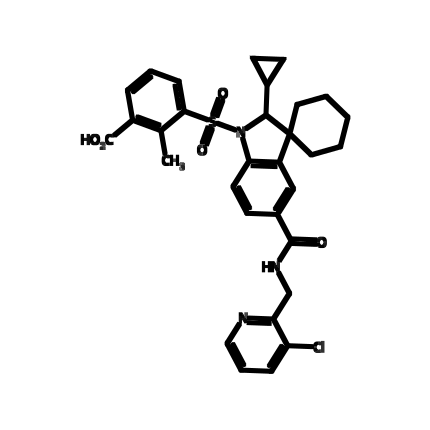 Cc1c(C(=O)O)cccc1S(=O)(=O)N1c2ccc(C(=O)NCc3ncccc3Cl)cc2C2(CCCCC2)C1C1CC1